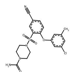 Cc1cc(Cl)cc(Oc2ccc(C#N)cc2S(=O)(=O)N2CCN(C(N)=O)CC2)c1